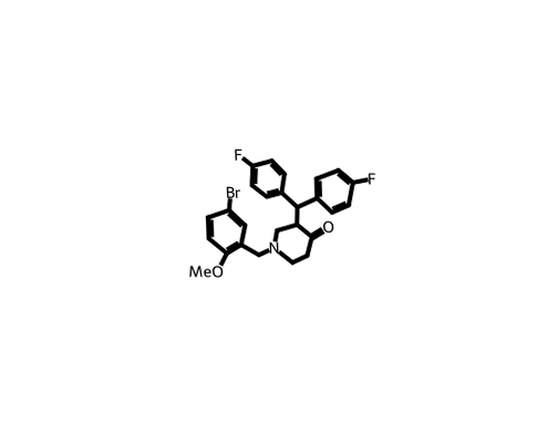 COc1ccc(Br)cc1CN1CCC(=O)C(C(c2ccc(F)cc2)c2ccc(F)cc2)C1